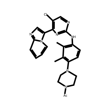 CC(=O)N1CCN(c2ccc(Nc3ncc(Cl)c(-c4cnc5ccccn45)n3)c(C)c2C)CC1